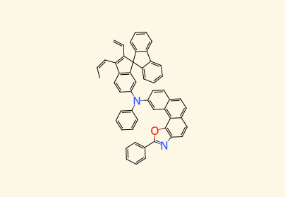 C=CC1=C(/C=C\C)c2ccc(N(c3ccccc3)c3ccc4ccc5ccc6nc(-c7ccccc7)oc6c5c4c3)cc2C12c1ccccc1-c1ccccc12